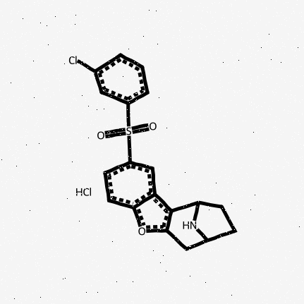 Cl.O=S(=O)(c1cccc(Cl)c1)c1ccc2oc3c(c2c1)C1CCC(C3)N1